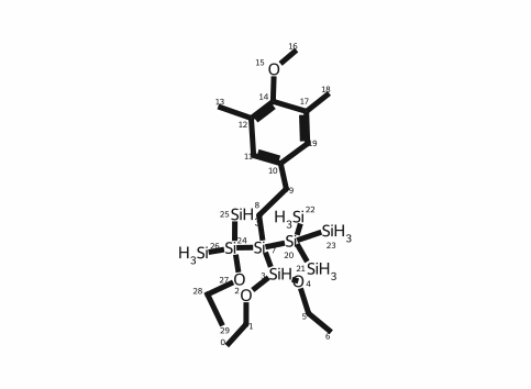 CCO[SiH](OCC)[Si](CCc1cc(C)c(OC)c(C)c1)([Si]([SiH3])([SiH3])[SiH3])[Si]([SiH3])([SiH3])OCC